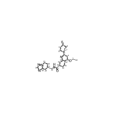 CCOc1cc(-c2ccc(F)cc2)nc2cc(C(=O)NCc3ccn4ncnc4c3)ccc12